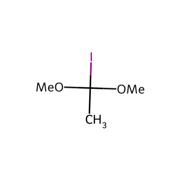 COC(C)(I)OC